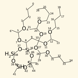 CCCCOC(C)OC(CC(OC(C)OCCCC)(OC(C)OCCCC)OC(C)OCCCC)[Si]1(C)O[SiH2]O[SiH](C)O[Si](C)(C)O1